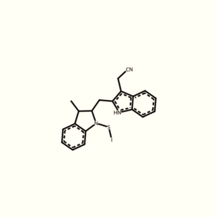 CC1c2ccccc2N(SI)C1Cc1[nH]c2ccccc2c1CC#N